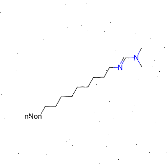 CCCCCCCCCCCCCCCCCCN=CN(C)C